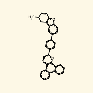 CC1C=Cc2oc3ccc(-c4ccc(-c5cnc6c7ccccc7c7ccccc7c6n5)cc4)cc3c2C1